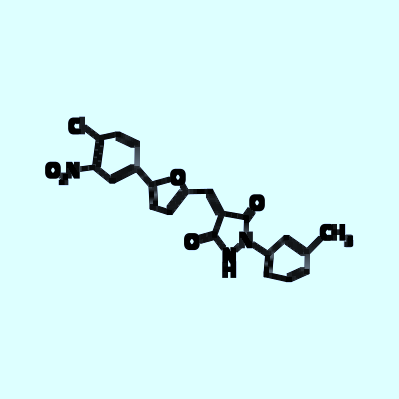 Cc1cccc(N2NC(=O)/C(=C\c3ccc(-c4ccc(Cl)c([N+](=O)[O-])c4)o3)C2=O)c1